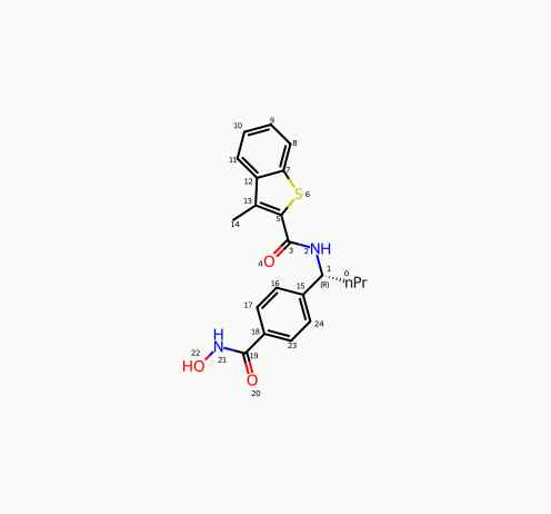 CCC[C@@H](NC(=O)c1sc2ccccc2c1C)c1ccc(C(=O)NO)cc1